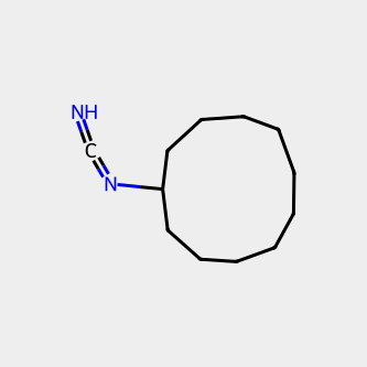 N=C=NC1CCCCCCCCCC1